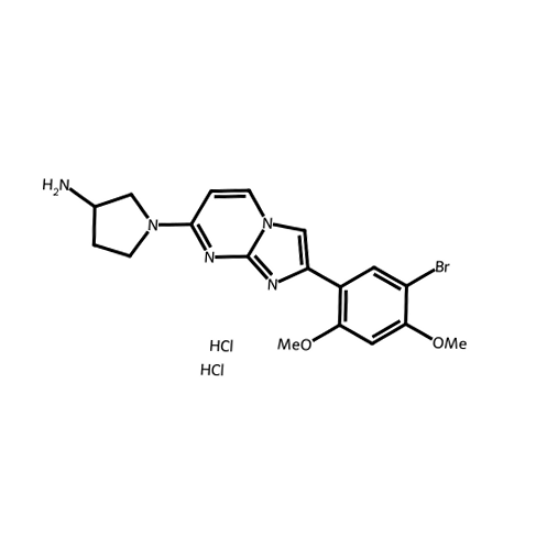 COc1cc(OC)c(-c2cn3ccc(N4CCC(N)C4)nc3n2)cc1Br.Cl.Cl